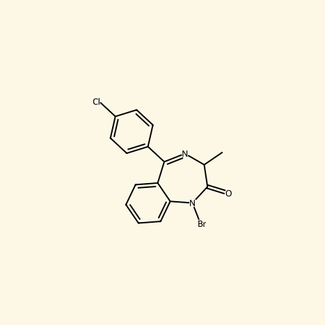 CC1N=C(c2ccc(Cl)cc2)c2ccccc2N(Br)C1=O